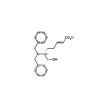 O=C(O)C=CCC[C@H](CO)N(Cc1ccccc1)Cc1ccccc1